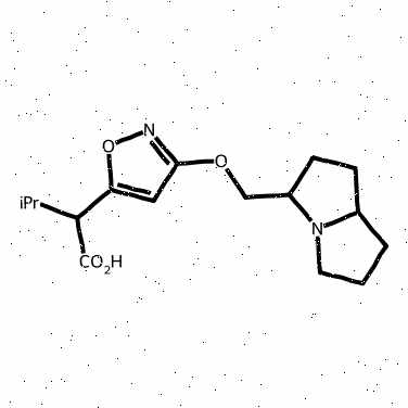 CC(C)C(C(=O)O)c1cc(OCC2CCC3CCCN32)no1